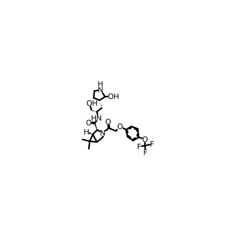 CC1(C)C2CN(C(=O)COc3ccc(OC(F)(F)F)cc3)[C@H](C(=O)N[C@H](CO)C[C@@H]3CCNC3O)[C@H]21